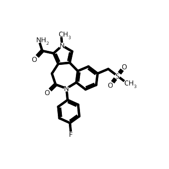 Cn1cc2c(c1C(N)=O)CC(=O)N(c1ccc(F)cc1)c1ccc(CS(C)(=O)=O)cc1-2